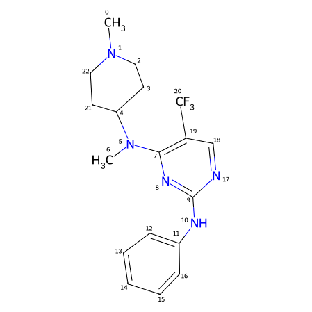 CN1CCC(N(C)c2nc(Nc3ccccc3)ncc2C(F)(F)F)CC1